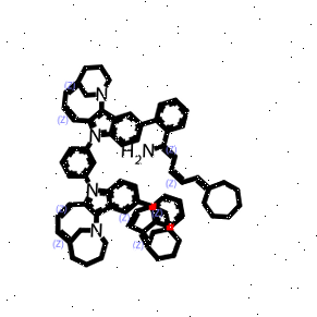 N/C(=C\C=C/C=C1CCCCCC1)c1ccccc1-c1ccc2c(c1)c1c(n2-c2cccc(-n3c4c(c5cc(-c6ccccc6C6=C7/CCCC(\C=C/C=C\6)C7)ccc53)N3CCCC/C(=C/C=C\4)C3)c2)/C=C\C=C2\CCCN1C2